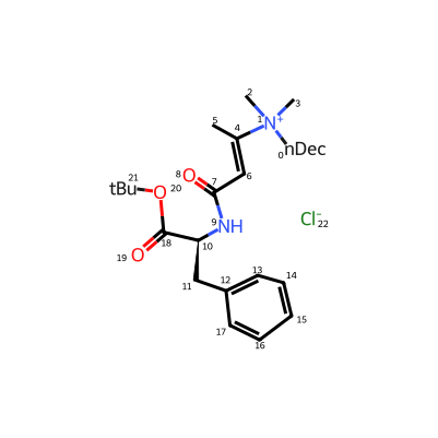 CCCCCCCCCC[N+](C)(C)/C(C)=C/C(=O)N[C@@H](Cc1ccccc1)C(=O)OC(C)(C)C.[Cl-]